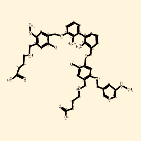 CNc1cncc(COc2cc(OCc3cccc(-c4cccc(OCc5cc(OC)c(CNCCCC(=O)O)cc5Cl)c4C)c3C)c(Cl)cc2CNCCCC(=O)O)c1